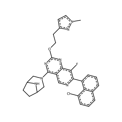 Cn1ccc(CCOc2nc(N3CC4CCC(C3)N4)c3cnc(-c4cccc5cccc(Cl)c45)c(F)c3n2)n1